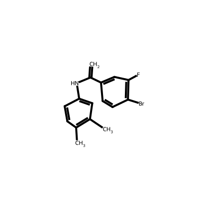 C=C(Nc1ccc(C)c(C)c1)c1ccc(Br)c(F)c1